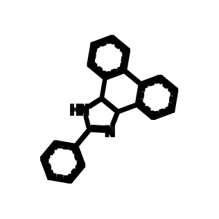 c1ccc(C2=NC3c4ccccc4-c4ccccc4C3N2)cc1